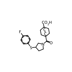 O=C(O)C12CCC(C(=O)N3CCC(Sc4ccc(F)cc4)C3)(CC1)CC2